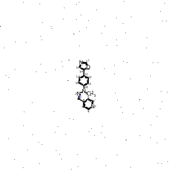 CN(/N=C\c1ccncc1)c1ccc(-c2cnco2)cc1